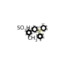 Cc1ccc(S(=O)(=O)O)cc1.c1ccc([S+](C2CCCCC2)C2CCCCC2)cc1